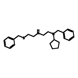 c1ccc(CSCCNCCN(Cc2ccccc2)C2CCCC2)cc1